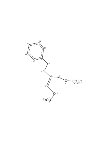 CCOC(=O)OC=C(COC(=O)OCC)SCc1ccccc1